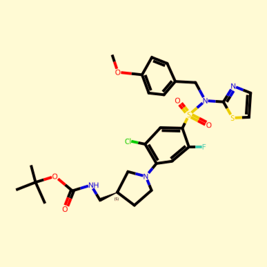 COc1ccc(CN(c2nccs2)S(=O)(=O)c2cc(Cl)c(N3CC[C@@H](CNC(=O)OC(C)(C)C)C3)cc2F)cc1